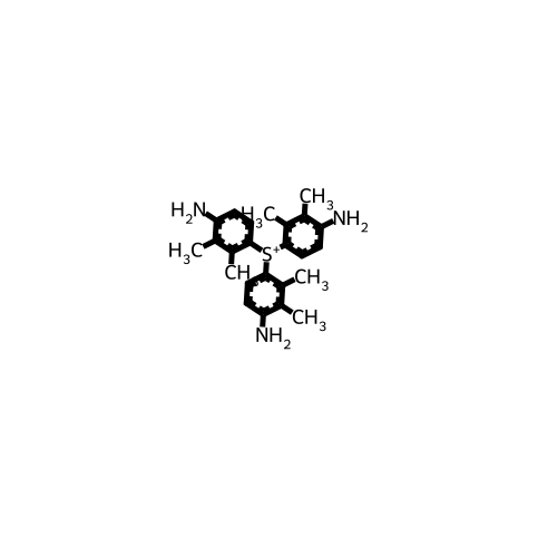 Cc1c(N)ccc([S+](c2ccc(N)c(C)c2C)c2ccc(N)c(C)c2C)c1C